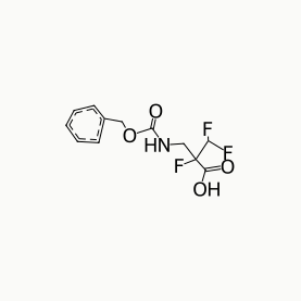 O=C(NCC(F)(C(=O)O)C(F)F)OCc1ccccc1